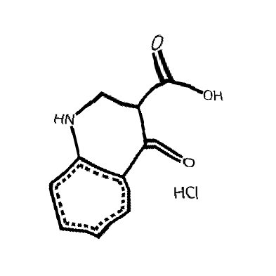 Cl.O=C(O)C1CNc2ccccc2C1=O